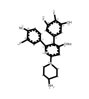 COc1cc(N2CCC(N)CC2)nc(-c2ccc(C#N)c(F)c2)c1-c1cc(O)c(F)c(F)c1